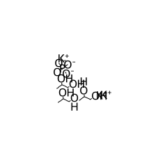 CC(O)CO.CC(O)CO.CC(O)CO.O=P([O-])([O-])[O-].[K+].[K+].[K+]